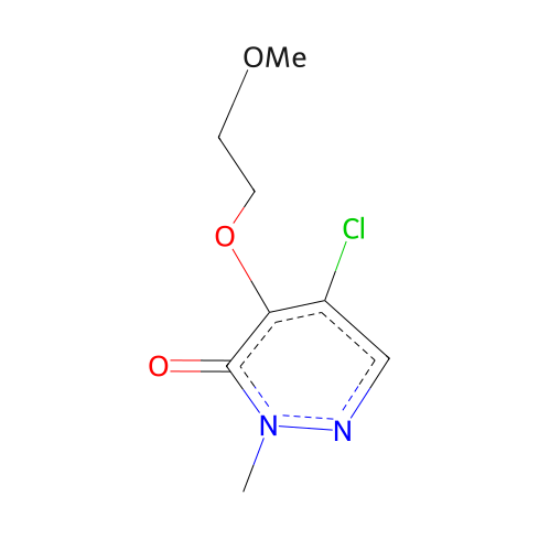 COCCOc1c(Cl)cnn(C)c1=O